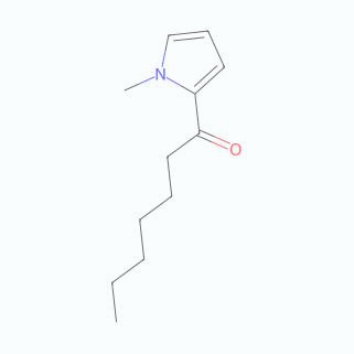 CCCCCCC(=O)c1cccn1C